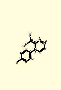 Cc1ccc(N2C=CN=NC2C(F)F)cc1